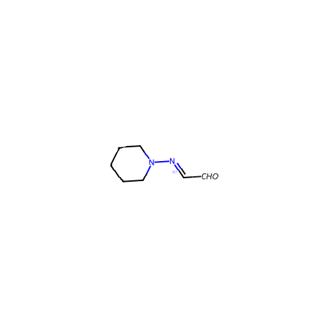 O=C/C=N/N1CCCCC1